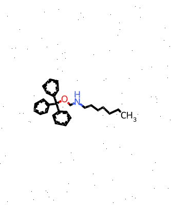 CCCCCCCNCOC(c1ccccc1)(c1ccccc1)c1ccccc1